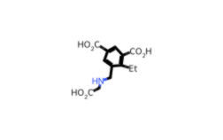 CCc1c(CNCC(=O)O)cc(C(=O)O)cc1C(=O)O